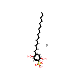 CCCCCCCCCCCCCCCc1cc(O)c(S(=O)(=O)O)cc1O.[KH]